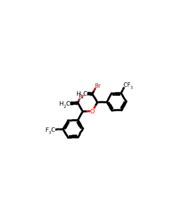 C=C(Br)C(OC(C(=C)Br)c1cccc(C(F)(F)F)c1)c1cccc(C(F)(F)F)c1